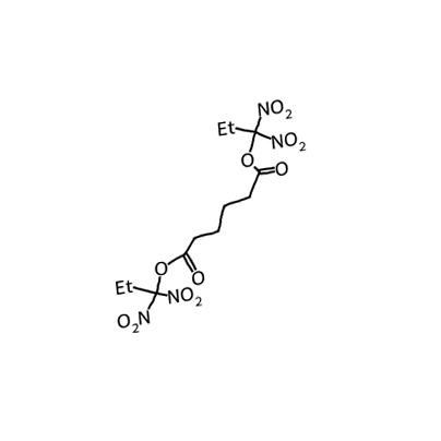 CCC(OC(=O)CCCCC(=O)OC(CC)([N+](=O)[O-])[N+](=O)[O-])([N+](=O)[O-])[N+](=O)[O-]